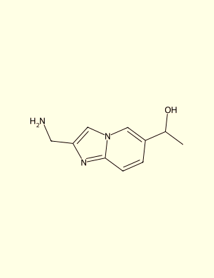 CC(O)c1ccc2nc(CN)cn2c1